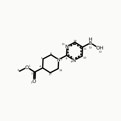 COC(=O)C1CCN(c2ncc(BO)cn2)CC1